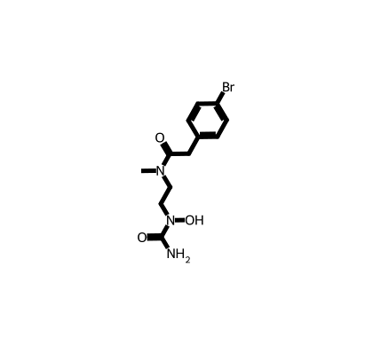 CN(CCN(O)C(N)=O)C(=O)Cc1ccc(Br)cc1